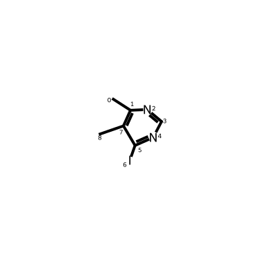 Cc1ncnc(I)c1C